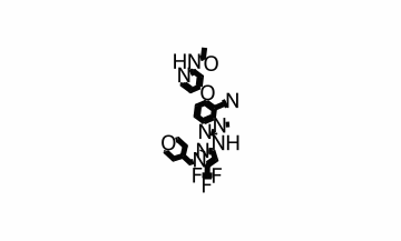 CC(=O)Nc1cc(Oc2ccc3nc(Nc4cc(C(F)(F)F)n(CC5CCOCC5)n4)n(C)c3c2C#N)ccn1